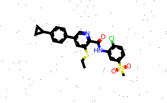 CCSc1cc(-c2ccc(C3CC3)cc2)cnc1C(=O)Nc1cc(S(C)(=O)=O)ccc1Cl